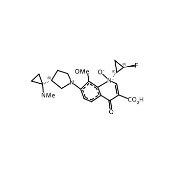 CNC1([C@@H]2CCN(c3ccc4c(c3OC)[N+]([O-])([C@@H]3C[C@H]3F)C=C(C(=O)O)C4=O)C2)CC1